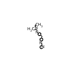 C=CC(/C=N/c1ccc(Cc2ccc(/N=C/c3ccccn3)cc2)cc1)=N\C=C/C